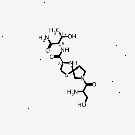 C[C@@H](O)[C@H](NC(=O)[C@@H]1CSC2(CCN(C(=O)C(N)CO)C2)N1)C(N)=O